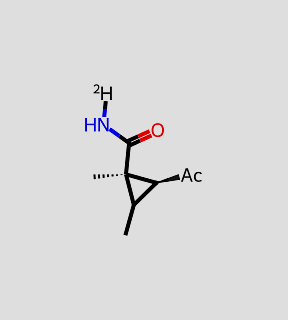 [2H]NC(=O)[C@]1(C)C(C)[C@@H]1C(C)=O